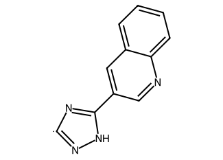 [c]1n[nH]c(-c2cnc3ccccc3c2)n1